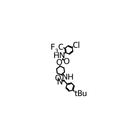 CC(C)(C)c1ccc(C2=NOC3(CCC(OC(=O)Nc4ccc(Cl)cc4C(F)(F)F)CC3)N2)cc1